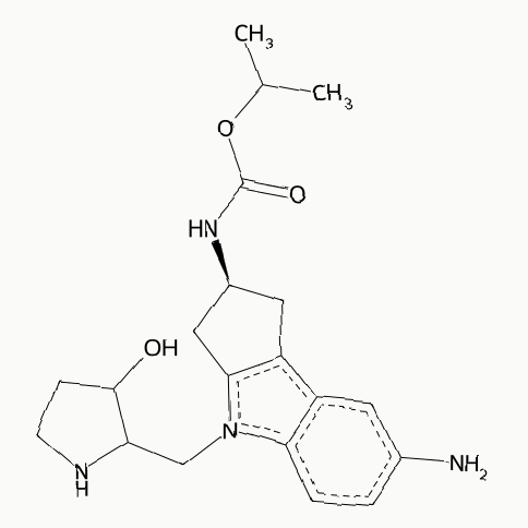 CC(C)OC(=O)N[C@H]1Cc2c(n(CC3NCCC3O)c3ccc(N)cc23)C1